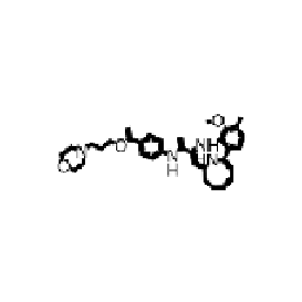 C=C(Nc1ccc(C(=C)OCCCN2CCOCC2)cc1)C(=N)/C=C1/CC/C=C\C=C(\c2ccc(C)c(OC)c2)N1